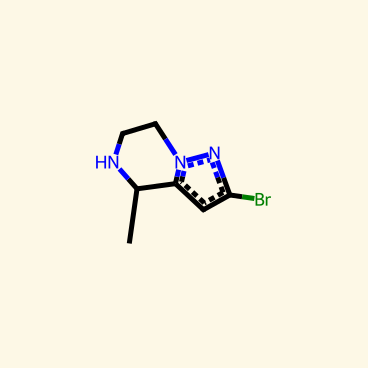 CC1NCCn2nc(Br)cc21